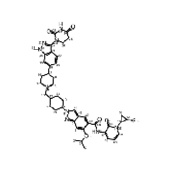 CC(C)Oc1cc2nn(C3CCC(CN4CCC(c5ccc6c(N7CCC(=O)NC7=O)nn(C)c6c5)CC4)CC3)cc2cc1C(=O)Nc1cccn([C@H]2C[C@H]2F)c1=O